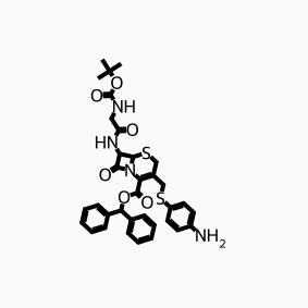 CC(C)(C)OC(=O)NCC(=O)NC1C(=O)N2C(C(=O)OC(c3ccccc3)c3ccccc3)=C(CSc3ccc(N)cc3)CSC12